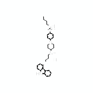 CCCCNS(=O)(=O)c1ccc(N2CCC(NC[C@H](O)COc3cccc4[nH]c5ccccc5c34)CC2)cc1